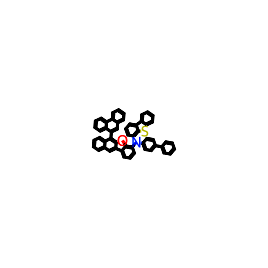 c1ccc(-c2ccc(N(c3cccc4c3oc3c(-c5cc6ccccc6c6ccccc56)c5ccccc5cc34)c3cccc4c3sc3ccccc34)cc2)cc1